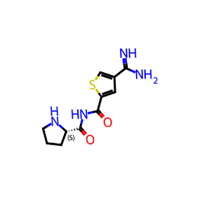 N=C(N)c1csc(C(=O)NC(=O)[C@@H]2CCCN2)c1